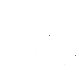 C=CC(C(N)=O)=C(C)CC